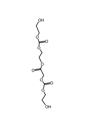 O=C(COC(=O)OCCO)OCCOC(=O)OCCO